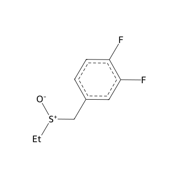 CC[S+]([O-])Cc1ccc(F)c(F)c1